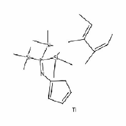 CC=C(C)C(C)=CC.C[Si](C)(C)P(=NC1=CC=CC1)([Si](C)(C)C)[Si](C)(C)C.[Ti]